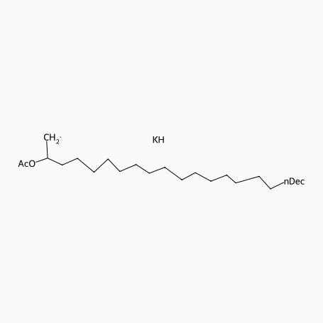 [CH2]C(CCCCCCCCCCCCCCCCCCCCCCCCC)OC(C)=O.[KH]